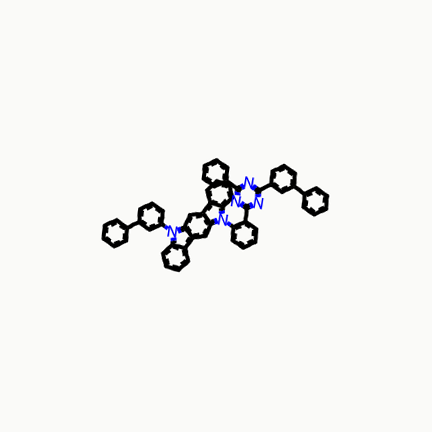 c1ccc(-c2cccc(-c3nc(-c4ccccc4)nc(-c4ccccc4-n4c5ccccc5c5cc6c(cc54)c4ccccc4n6-c4cccc(-c5ccccc5)c4)n3)c2)cc1